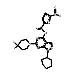 O=C(Nc1nc(N2CCC(F)(F)CC2)nc2c1cnn2C1CCCCC1)c1ccc([N+](=O)[O-])s1